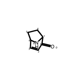 O=C1C=CC2CCC1N2